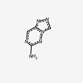 Nc1ncc2nncn2n1